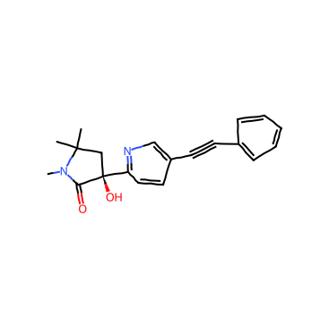 CN1C(=O)[C@@](O)(c2ccc(C#Cc3ccccc3)cn2)CC1(C)C